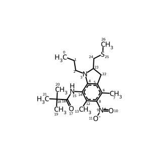 CCCN1c2c(c(C)c([N+](=O)[O-])c(C)c2NC(=O)C(C)(C)C)CC1CSC